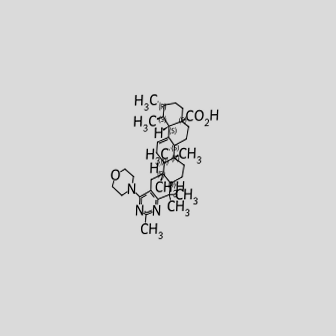 Cc1nc(N2CCOCC2)c2c(n1)C(C)(C)[C@@H]1CC[C@]3(C)[C@H](CC=C4[C@@H]5[C@@H](C)[C@H](C)CC[C@]5(C(=O)O)CC[C@]43C)[C@@]1(C)C2